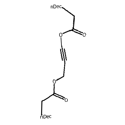 CCCCCCCCCCCC(=O)OC#CCOC(=O)CCCCCCCCCCC